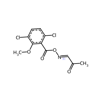 COc1c(Cl)ccc(Cl)c1C(=O)O/N=C/C(C)=O